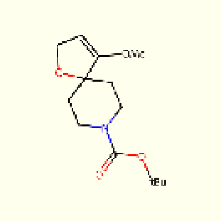 COC1=CCOC12CCN(C(=O)OC(C)(C)C)CC2